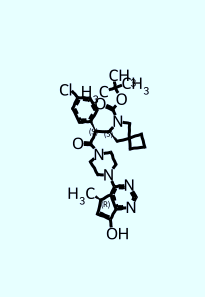 C[C@@H]1C=C(O)c2ncnc(N3CCN(C(=O)[C@@H](c4ccc(Cl)cc4)[C@@H]4CC5(CCC5)CN4C(=O)OC(C)(C)C)CC3)c21